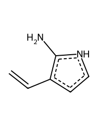 C=Cc1cc[nH]c1N